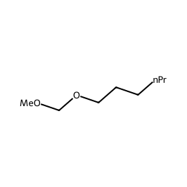 CCCCCCOCOC